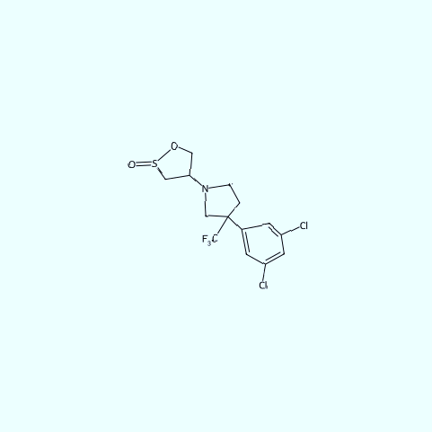 O=S1CC(N2[CH]CC(c3cc(Cl)cc(Cl)c3)(C(F)(F)F)C2)CO1